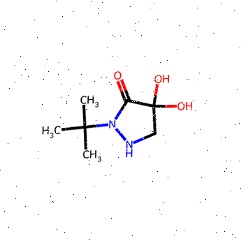 CC(C)(C)N1NCC(O)(O)C1=O